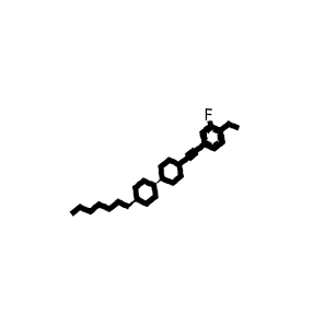 CCCCCCC[C@H]1CC[C@H](C2CCC(C#Cc3ccc(CC)c(F)c3)CC2)CC1